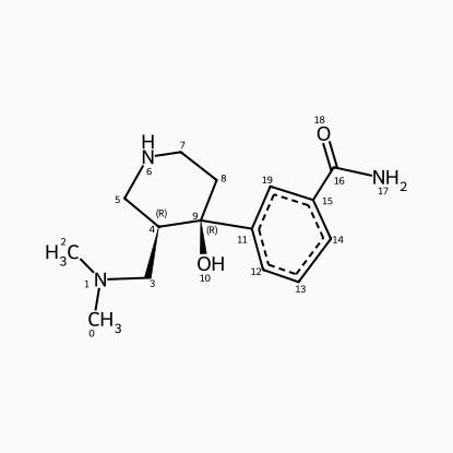 CN(C)C[C@H]1CNCC[C@]1(O)c1cccc(C(N)=O)c1